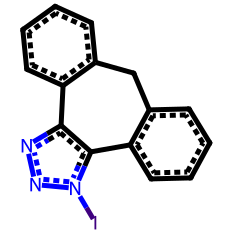 In1nnc2c1-c1ccccc1Cc1ccccc1-2